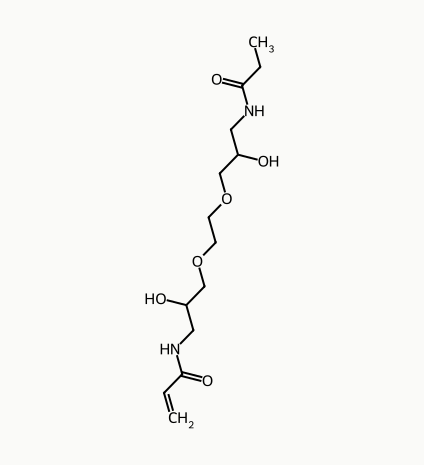 C=CC(=O)NCC(O)COCCOCC(O)CNC(=O)CC